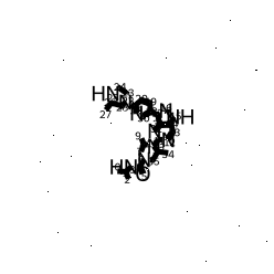 CC(C)NC(=O)N1CC(C)N(c2ncc3[nH]nc(-c4ccc(N5CCNC(C)C5)nc4)c3n2)C(C)C1